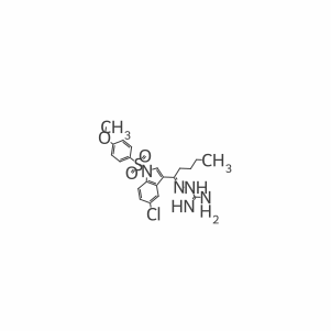 CCCCC(=NNC(=N)N)c1cn(S(=O)(=O)c2ccc(OC)cc2)c2ccc(Cl)cc12